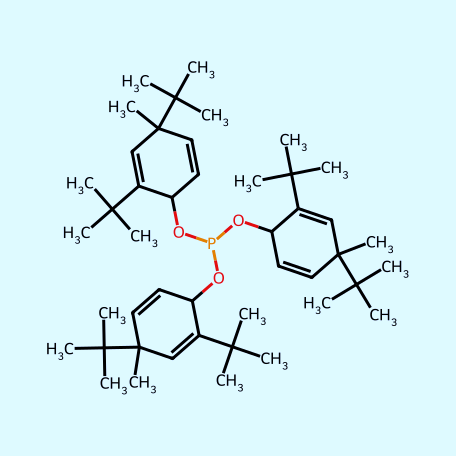 CC(C)(C)C1=CC(C)(C(C)(C)C)C=CC1OP(OC1C=CC(C)(C(C)(C)C)C=C1C(C)(C)C)OC1C=CC(C)(C(C)(C)C)C=C1C(C)(C)C